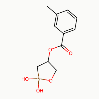 Cc1cccc(C(=O)OC2COS(O)(O)C2)c1